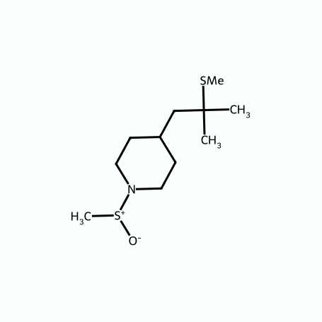 CSC(C)(C)CC1CCN([S+](C)[O-])CC1